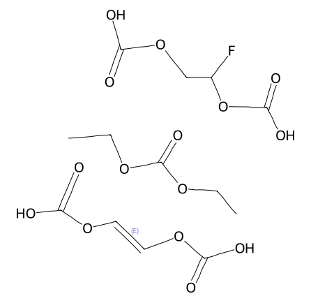 CCOC(=O)OCC.O=C(O)O/C=C/OC(=O)O.O=C(O)OCC(F)OC(=O)O